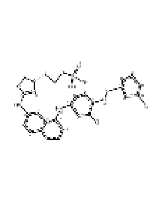 O=P(O)(O)OCC[C@H]1COC(Nc2ccc3ncnc(Nc4ccc(OCc5cccc(F)c5)c(Cl)c4)c3c2)=N1